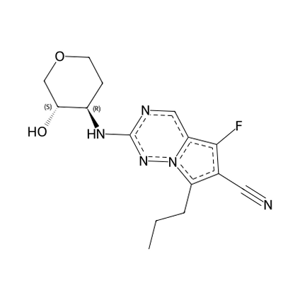 CCCc1c(C#N)c(F)c2cnc(N[C@@H]3CCOC[C@H]3O)nn12